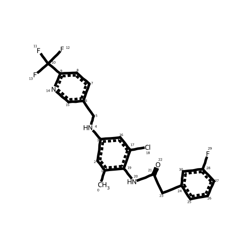 Cc1cc(NCc2ccc(C(F)(F)F)nc2)cc(Cl)c1NC(=O)Cc1cccc(F)c1